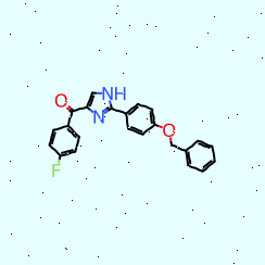 O=C(c1ccc(F)cc1)c1c[nH]c(-c2ccc(OCc3ccccc3)cc2)n1